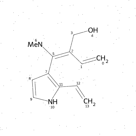 C=C/C(CO)=C(/NC)c1cc[nH]c1C=C